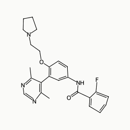 Cc1ncnc(C)c1-c1cc(NC(=O)c2ccccc2F)ccc1OCCN1CCCC1